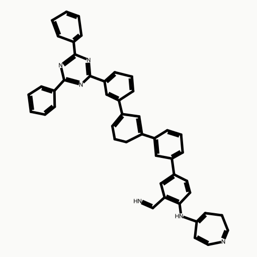 N=Cc1cc(-c2cccc(C3=CC(c4cccc(-c5nc(-c6ccccc6)nc(-c6ccccc6)n5)c4)=CCC3)c2)ccc1NC1=CCC=NC=C1